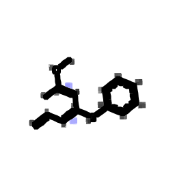 C=C/C=C(\C=C(/C)OC)Sc1ccccc1